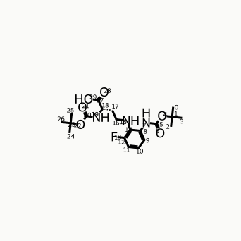 CC(C)(C)OC(=O)Nc1cccc(F)c1NCC[C@H](NC(=O)OC(C)(C)C)C(=O)O